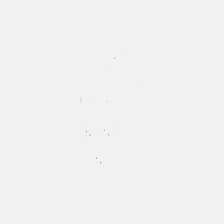 Cc1c(C=O)cccc1-n1cncn1